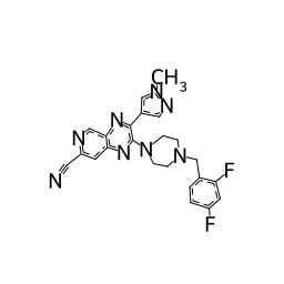 Cn1cc(-c2nc3cnc(C#N)cc3nc2N2CCN(Cc3ccc(F)cc3F)CC2)cn1